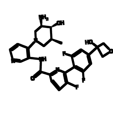 C[C@H]1CN(c2ccncc2NC(=O)c2ccc(F)c(-c3c(F)cc(C4(O)COC4)cc3F)n2)C[C@@H](N)[C@@H]1O